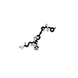 C=C(F)/C=C\C=C/CCC(O)(Cn1cnnn1)C(F)(F)C1C=CC(C#Cc2ccc(C(=O)NCc3cccc(F)c3)s2)=CN1